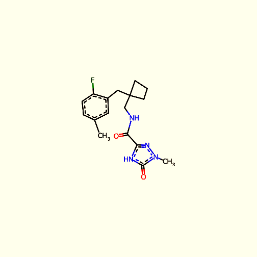 Cc1ccc(F)c(CC2(CNC(=O)c3nn(C)c(=O)[nH]3)CCC2)c1